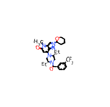 CC[C@@H]1CN(c2cc(=O)n(C)c3cn(C4CCCCO4)nc23)[C@@H](CC)CN1C(=O)c1cccc(C(F)(F)F)c1